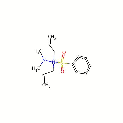 C=CC[N+](CC=C)(N(C)C)S(=O)(=O)c1ccccc1